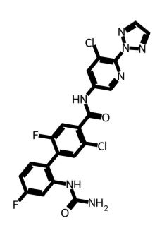 NC(=O)Nc1cc(F)ccc1-c1cc(Cl)c(C(=O)Nc2cnc(-n3nccn3)c(Cl)c2)cc1F